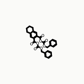 O=C(OCc1ccccc1)OC(=O)c1cc2c(cc1C(=O)OC(=O)OCc1ccccc1)CCCC2